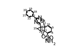 CC1(C)C(S(N)(=O)=O)=CC=CC1(C)C1(c2nc(-c3ccccc3)no2)CC1